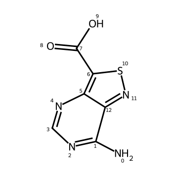 Nc1ncnc2c(C(=O)O)snc12